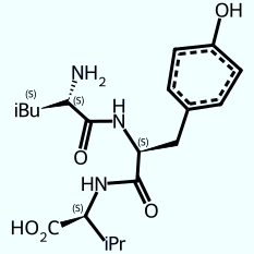 CC[C@H](C)[C@H](N)C(=O)N[C@@H](Cc1ccc(O)cc1)C(=O)N[C@H](C(=O)O)C(C)C